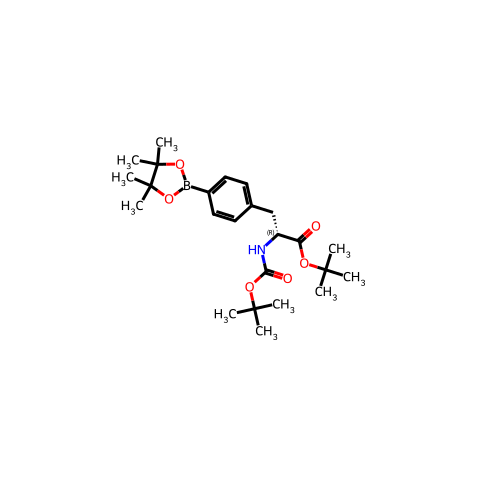 CC(C)(C)OC(=O)N[C@H](Cc1ccc(B2OC(C)(C)C(C)(C)O2)cc1)C(=O)OC(C)(C)C